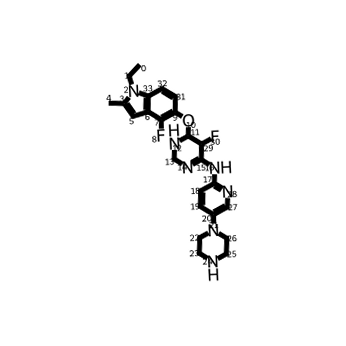 CCn1c(C)cc2c(F)c(OC3NCN=C(Nc4ccc(N5CCNCC5)cn4)C3F)ccc21